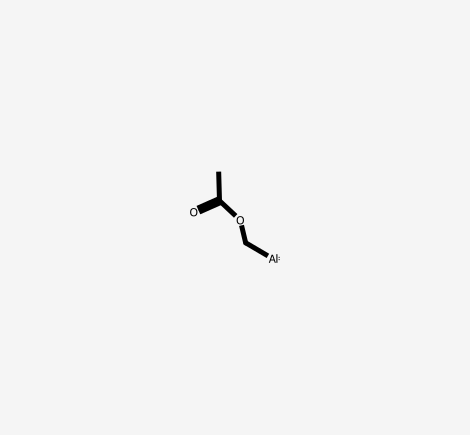 CC(=O)O[CH2][Al]